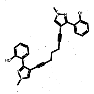 Cn1cc(C#CCCCC#Cc2cn(C)nc2-c2ccccc2O)c(-c2ccccc2O)n1